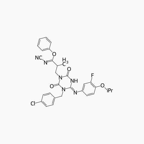 CC(C)Oc1ccc(N=c2[nH]c(=O)n(CC(C)C(=NC#N)Oc3ccccc3)c(=O)n2Cc2ccc(Cl)cc2)cc1F